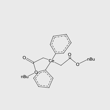 CCCCOC(=O)[CH2][Ge]([CH2]C(=O)OCCCC)([c]1ccccc1)[c]1ccccc1